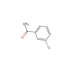 [CH2]C(=O)c1cccc(Cl)c1